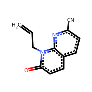 C=CCn1c(=O)ccc2ccc(C#N)nc21